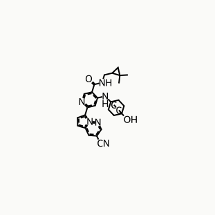 CC1(C)CC1CNC(=O)c1cnc(-c2ccc3cc(C#N)cnn23)cc1NC12CCC(O)(CC1)CC2